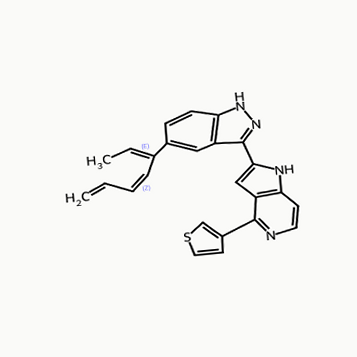 C=C/C=C\C(=C/C)c1ccc2[nH]nc(-c3cc4c(-c5ccsc5)nccc4[nH]3)c2c1